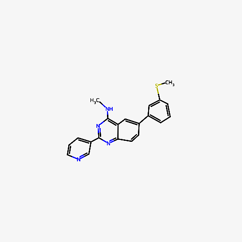 CNc1nc(-c2cccnc2)nc2ccc(-c3cccc(SC)c3)cc12